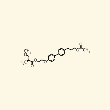 C=C(COC)C(=O)OCCOc1ccc(-c2ccc(CCCOC(C)=O)cc2)cc1